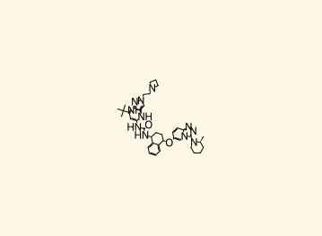 C[C@H]1CCCCN1c1nnc2ccc(O[C@@H]3CC[C@H](NC(=O)N/C(=C/C(=N)C(C)(C)C)Nc4cnn(CCN5CCC5)c4)c4ccccc43)cn12